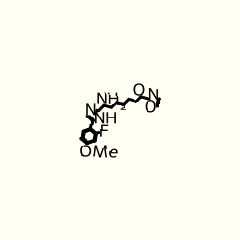 COc1ccc(-c2cnc([C@@H](N)CCCCCC(=O)c3ncco3)[nH]2)c(F)c1